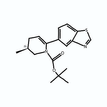 C[C@H]1CC=C(c2ccc3scnc3c2)N(C(=O)OC(C)(C)C)C1